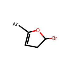 CC(=O)C1=CCC(Br)O1